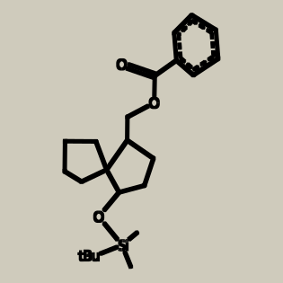 CC(C)(C)[Si](C)(C)OC1CCC(COC(=O)c2ccccc2)C12CCCC2